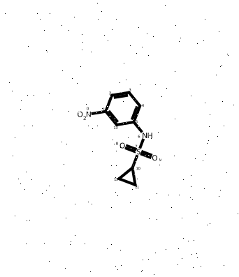 O=[N+]([O-])c1cccc(NS(=O)(=O)C2CC2)c1